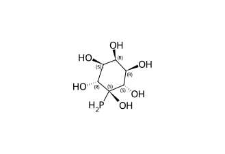 O[C@H]1[C@@H](O)[C@H](O)[C@](O)(P)[C@H](O)[C@H]1O